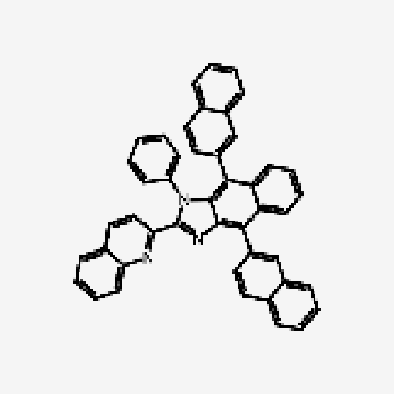 c1ccc(-n2c(-c3ccc4ccccc4n3)nc3c(-c4ccc5ccccc5c4)c4ccccc4c(-c4ccc5ccccc5c4)c32)cc1